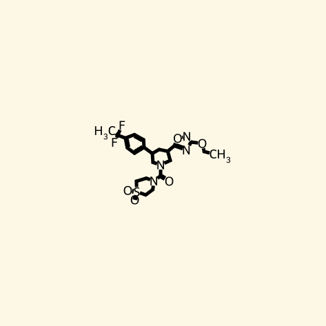 CCOc1noc(C2CC(c3ccc(C(C)(F)F)cc3)CN(C(=O)N3CCS(=O)(=O)CC3)C2)n1